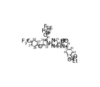 CCS(=O)(=O)c1ccc([C@H](CO)NC(=O)c2cnc(N3CC(Oc4ccc(C(F)(F)F)cc4)C[C@H]3COC(F)(F)C(F)F)nc2)cc1